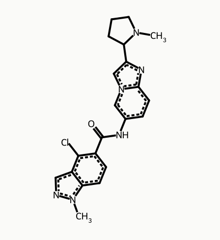 CN1CCCC1c1cn2cc(NC(=O)c3ccc4c(cnn4C)c3Cl)ccc2n1